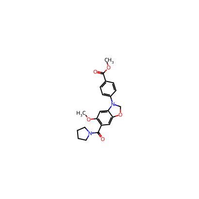 COC(=O)c1ccc(N2COc3cc(C(=O)N4CCCC4)c(OC)cc32)cc1